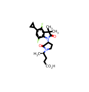 C[C@H](CCC(=O)O)N1CC[C@H](N2C(=O)C(C)(C)c3c(F)c(C4CC4)cc(F)c32)C1=O